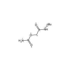 CCCCNC(=O)COC(N)=O